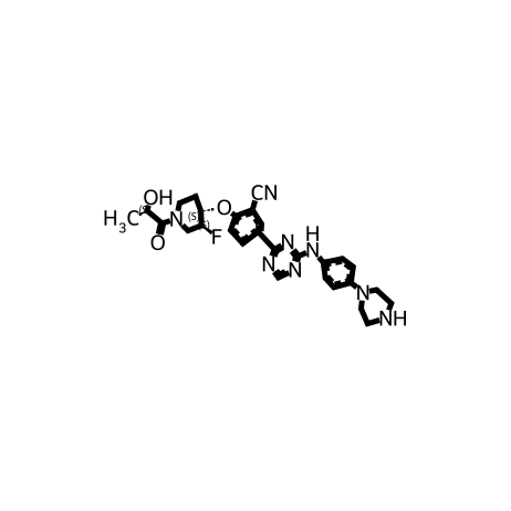 C[C@H](O)C(=O)N1CC[C@H](Oc2ccc(-c3ncnc(Nc4ccc(N5CCNCC5)cc4)n3)cc2C#N)[C@@H](F)C1